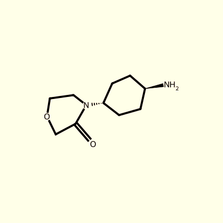 N[C@H]1CC[C@H](N2CCOCC2=O)CC1